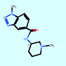 CN1CCC[C@@H](NC(=O)c2ccc3c(c2)nnn3C)C1